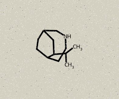 CC(C)C1CC2CCC1CCNC2